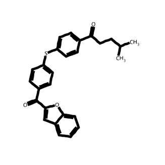 CC(C)CCC(=O)c1ccc(Sc2ccc(C(=O)c3cc4ccccc4o3)cc2)cc1